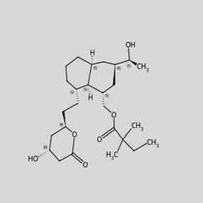 CCC(C)(C)C(=O)OC[C@H]1C[C@H]([C@H](C)O)C[C@@H]2CCC[C@@H](CC[C@@H]3C[C@@H](O)CC(=O)O3)[C@@H]21